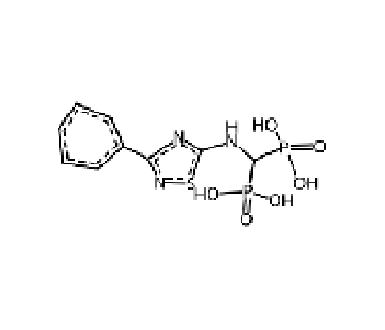 O=P(O)(O)C(Nc1nc(-c2ccccc2)ns1)P(=O)(O)O